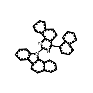 c1ccc2c(-c3nc(-n4c5ccccc5c5ccc6ccccc6c54)nc4c3ccc3ccccc34)cccc2c1